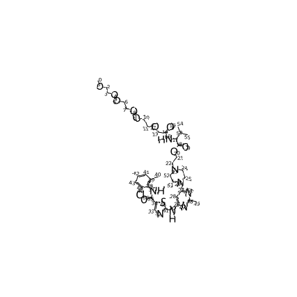 COCCOOCCOOCCOCC(=O)N[C@H](C(=O)OCCN1CCN(c2cc(Nc3ncc(C(=O)Nc4c(C)cccc4Cl)s3)nc(C)n2)CC1)C(C)C